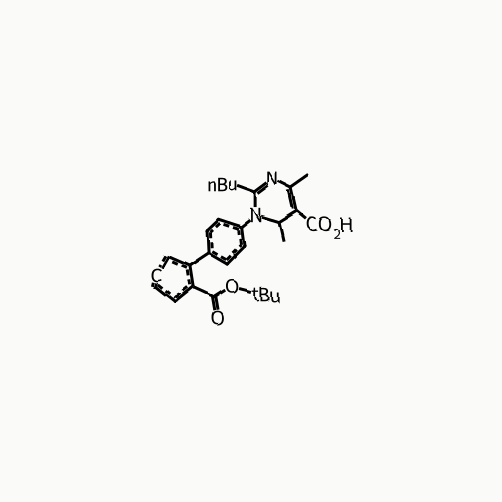 CCCCC1=NC(C)=C(C(=O)O)C(C)N1c1ccc(-c2ccccc2C(=O)OC(C)(C)C)cc1